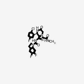 CNC(=O)c1nc(NC(=O)N2CCc3cc(F)c(F)cc32)c2n1CC(=O)N[C@@H]2c1cc(F)ccc1Cl